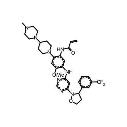 C=CC(=O)Nc1cc(Nc2cc(N3OCCC3c3cccc(C(F)(F)F)c3)ncn2)c(OC)cc1N1CCC(N2CCN(C)CC2)CC1